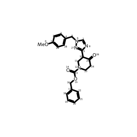 COc1ccc(Cn2cnc(C3CN(C(=O)OCc4ccccc4)CCC3=O)n2)cc1